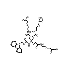 NC(=O)COCCNC(=O)CCC(CCC(=O)NCCOCC(N)=O)(COC(=O)NCCOCC(N)=O)NC(=O)OCC1c2ccccc2-c2ccccc21